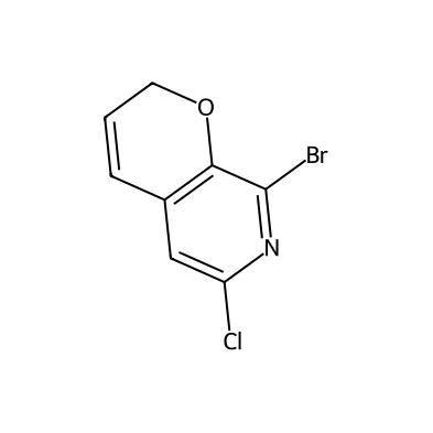 Clc1cc2c(c(Br)n1)OCC=C2